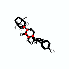 N#Cc1ccc(CNC2CCN(S(=O)(=O)N3[C@@H]4CC[C@H]3C[C@@H](NC(=O)c3cc(C5CC5)on3)C4)CC2)cc1